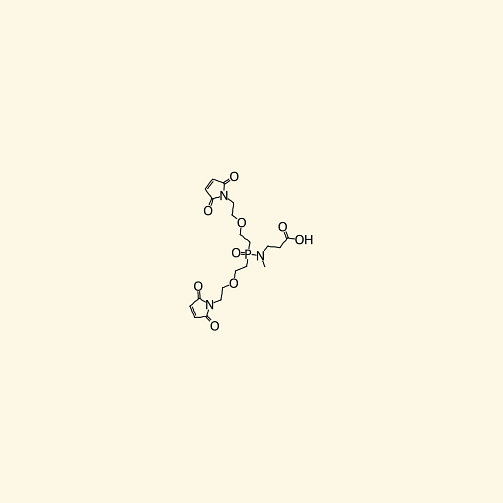 CN(CCC(=O)O)P(=O)(CCOCCN1C(=O)C=CC1=O)CCOCCN1C(=O)C=CC1=O